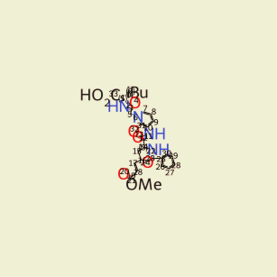 CC[C@@H](C)[C@H](NC(=O)Cn1cccc(NC(=O)[C@H](CCC=CC(=O)OC)NC(=O)c2ccccc2)c1=O)C(=O)O